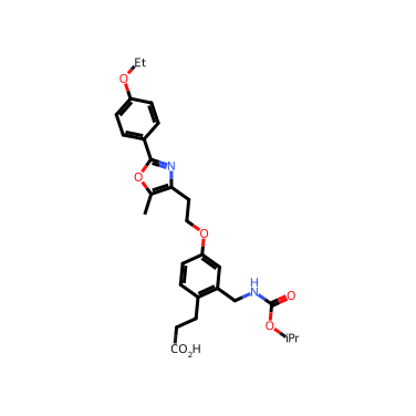 CCOc1ccc(-c2nc(CCOc3ccc(CCC(=O)O)c(CNC(=O)OC(C)C)c3)c(C)o2)cc1